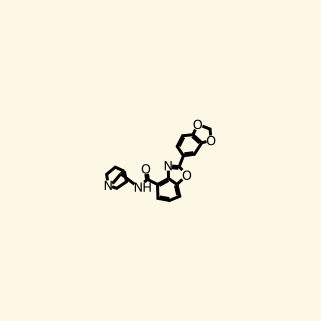 O=C(NC1CN2CCC1CC2)c1cccc2oc(-c3ccc4c(c3)OCO4)nc12